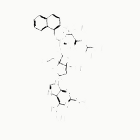 CNc1nc(N)nc2c1ncn2[C@H]1C[C@@](O)(F)[C@@](CCl)(COP(=S)(N[C@H](C)C(=O)OC(C)C)Oc2cccc3ccccc23)O1